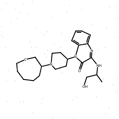 CC(CO)Nc1nc2ccccc2n(C2CCN(C3CCCCCCC3)CC2)c1=O